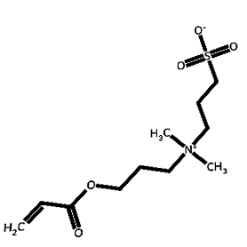 C=CC(=O)OCCC[N+](C)(C)CCCS(=O)(=O)[O-]